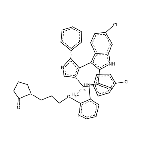 C[C@@H](c1ccc(Cl)cc1)n1cnc(-c2ccccc2)c1-c1c(C(=O)Nc2cccnc2OCCCN2CCCC2=O)[nH]c2cc(Cl)ccc12